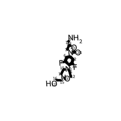 NC[C@H]1CN(c2cc(F)c(N3CCON(CCO)CC3)c(F)c2)C(=O)O1